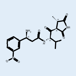 CC(C)[C@H](NC(=O)C[C@H](N)c1cccc([N+](=O)[O-])c1)C(=O)[C@@H]1C(=O)NC(=O)[C@H]1C